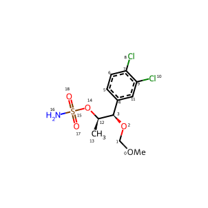 COCO[C@H](c1ccc(Cl)c(Cl)c1)[C@@H](C)OS(N)(=O)=O